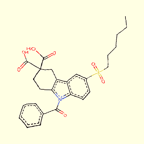 CCCCCCS(=O)(=O)c1ccc2c(c1)c1c(n2C(=O)c2ccccc2)CCC(C(=O)O)(C(=O)O)C1